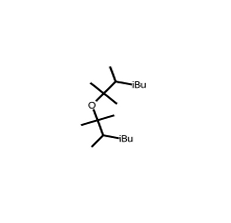 CCC(C)C(C)C(C)(C)OC(C)(C)C(C)C(C)CC